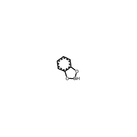 c1ccc2c(c1)[O][BiH][O]2